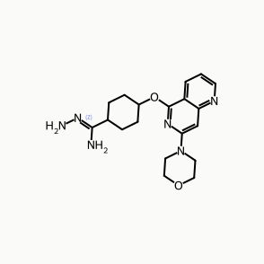 N/N=C(\N)C1CCC(Oc2nc(N3CCOCC3)cc3ncccc23)CC1